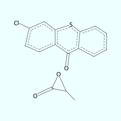 CC1OC1=O.O=c1c2ccccc2sc2cc(Cl)ccc12